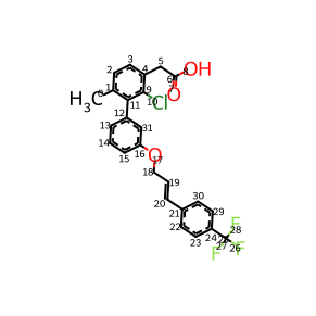 Cc1ccc(CC(=O)O)c(Cl)c1-c1cccc(OCC=Cc2ccc(C(F)(F)F)cc2)c1